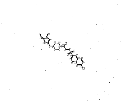 CN=c1sc(CC2CCN(C(=O)CCS(=O)(=O)c3ccc4cc(Cl)ccc4c3)CC2)cn1C